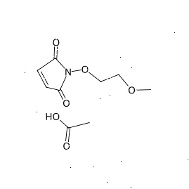 CC(=O)O.COCCON1C(=O)C=CC1=O